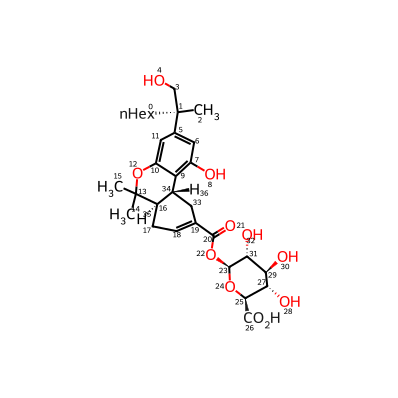 CCCCCC[C@@](C)(CO)c1cc(O)c2c(c1)OC(C)(C)[C@@H]1CC=C(C(=O)O[C@@H]3O[C@H](C(=O)O)[C@@H](O)[C@H](O)[C@H]3O)C[C@@H]21